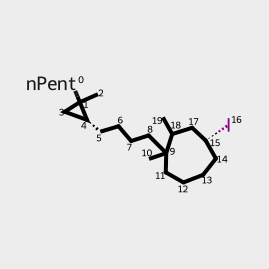 CCCCCC1(C)C[C@H]1CCCCC1(C)CCCC[C@@H](I)CC1C